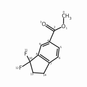 COC(=O)c1ccc2c(c1)C(F)(F)CC2